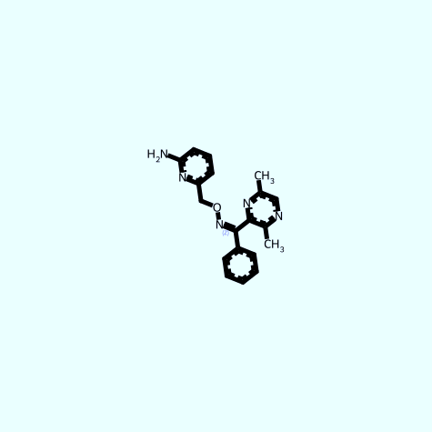 Cc1cnc(C)c(/C(=N\OCc2cccc(N)n2)c2ccccc2)n1